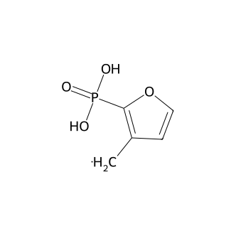 [CH2]c1ccoc1P(=O)(O)O